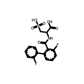 O=C(NC(CS(=O)(=O)O)C(=O)O)c1c(F)cccc1-c1ccccc1F